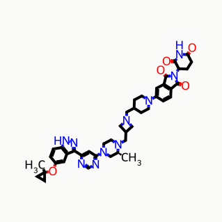 C[C@H]1CN(c2cc(-c3n[nH]c4ccc(OC5(C)CC5)cc34)ncn2)CCN1CC1CN(CC2CCN(c3ccc4c(c3)C(=O)N(C3CCC(=O)NC3=O)C4=O)CC2)C1